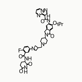 CC(C)Oc1cc2c(cc1NC(=O)c1cnn3cccnc13)CN(C1CCN(CC3CN(c4ccc(F)c(C(=O)NC5CCC(=O)NC5=O)c4)C3)CC1)C2=O